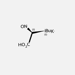 CC[C@H](C)[C@H](N=O)C(=O)O.[K]